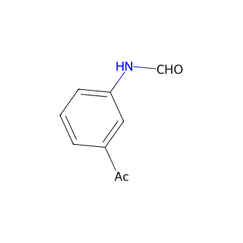 [CH2]C(=O)c1cccc(NC=O)c1